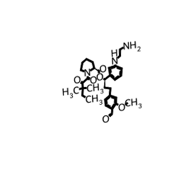 CCC(C)(C)C(=O)C(=O)N1CCCC[C@H]1C(=O)O[C@H](CCc1ccc(C=O)c(OC)c1)c1cccc(NCCN)c1